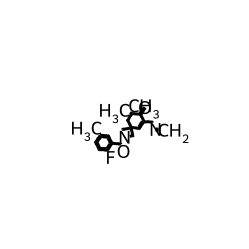 C=NCC1=CC2(CN(C(=O)c3cc(C)ccc3F)C2)CC(C)(C)C1=O